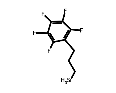 Fc1c(F)c(F)c(CCC[SiH3])c(F)c1F